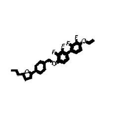 CCCC1CCC(C2CCC(COc3ccc(-c4ccc(OCC)c(F)c4F)c(F)c3F)CC2)O1